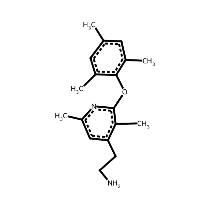 Cc1cc(C)c(Oc2nc(C)cc(CCN)c2C)c(C)c1